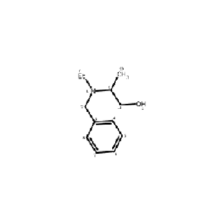 CCN(Cc1ccccc1)C(C)CO